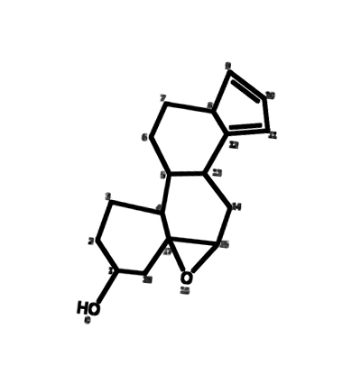 OC1CCC2C3CCC4C=CC=C4C3CC3OC32C1